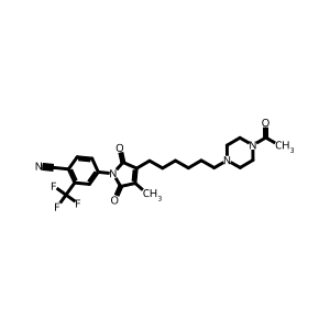 CC(=O)N1CCN(CCCCCCC2=C(C)C(=O)N(c3ccc(C#N)c(C(F)(F)F)c3)C2=O)CC1